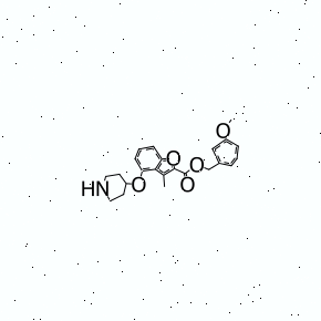 COc1cccc(COC(=O)c2oc3cccc(OC4CCNCC4)c3c2C)c1